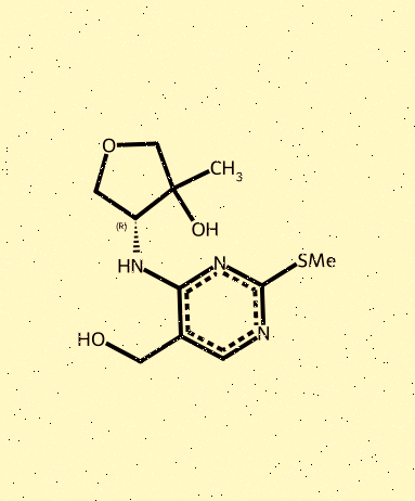 CSc1ncc(CO)c(N[C@@H]2COCC2(C)O)n1